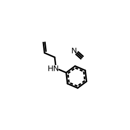 C#N.C=CCNc1ccccc1